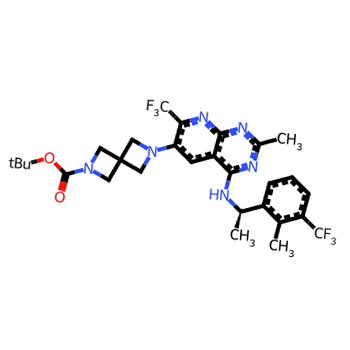 Cc1nc(N[C@H](C)c2cccc(C(F)(F)F)c2C)c2cc(N3CC4(CN(C(=O)OC(C)(C)C)C4)C3)c(C(F)(F)F)nc2n1